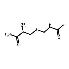 CC(=O)NCSC[C@H](N)C(N)=O